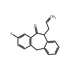 C=CCC1C(=O)c2cc(F)ccc2Cc2ccccc21